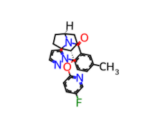 Cc1ccc(-n2cccn2)c(C(=O)N2C3CC[C@H]2CC[C@@H]3COc2ccc(F)cn2)c1